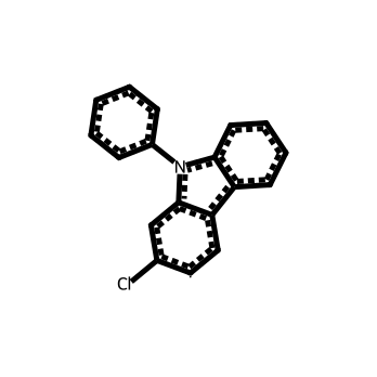 Clc1[c]cc2c3ccccc3n(-c3ccccc3)c2c1